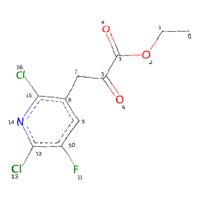 CCOC(=O)C(=O)Cc1cc(F)c(Cl)nc1Cl